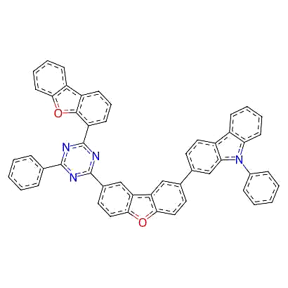 c1ccc(-c2nc(-c3ccc4oc5ccc(-c6ccc7c8ccccc8n(-c8ccccc8)c7c6)cc5c4c3)nc(-c3cccc4c3oc3ccccc34)n2)cc1